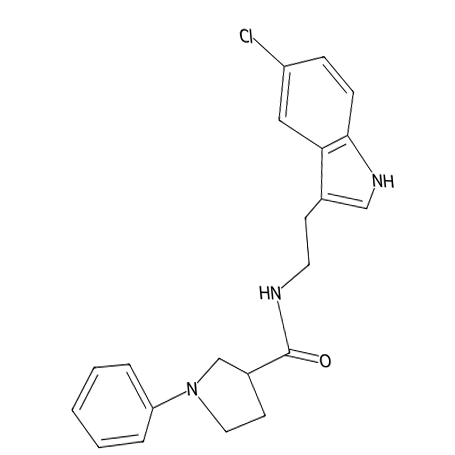 O=C(NCCc1c[nH]c2ccc(Cl)cc12)C1CCN(c2ccccc2)C1